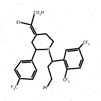 CC/C(C(=O)O)=C1/CCN(C(CCC(C)C)c2cc(C(F)(F)F)ccc2C(F)(F)F)C(c2ccc(C(F)(F)F)cc2)C1